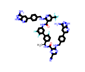 C[C@H](NC(=O)c1nc(C#N)cnc1NCc1ccc(-c2cnc3[nH]nc(N)c3c2)cc1)c1ccc(F)c(-c2cc(NC(=O)c3cc(C(F)(F)F)cnc3NCc3ccc(-c4cnc5[nH]nc(N)c5c4)cc3)cc(F)c2F)c1